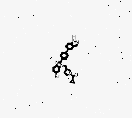 O=C(C1CC1)N1CCC(Cn2c(-c3ccc(-c4ccc5[nH]ncc5c4)cc3)nc3ccc(Br)cc32)C1